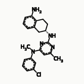 Cc1cc(N(C)c2cccc(Cl)c2)nc(N[C@H]2CCc3c(N)cccc3C2)n1